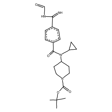 CC(C)(C)OC(=O)N1CCC(N(C(=O)c2ccc(C(=N)NC=O)cc2)C2CC2)CC1